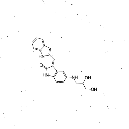 O=C1Nc2ccc(NCC(O)CO)cc2C1=Cc1cc2ccccc2[nH]1